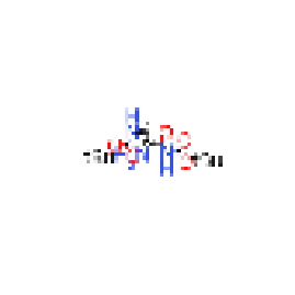 C[C@@H](NC(=O)OC(C)(C)C)[C@H](N)C(=O)NC(=O)OC(C)(C)C